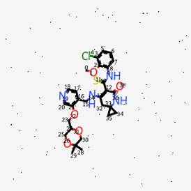 COc1c(Cl)cccc1NC(=S)C1=C(NCc2ccncc2OCC2COC(C)(C)CO2)CC2(CC2)NC1=O